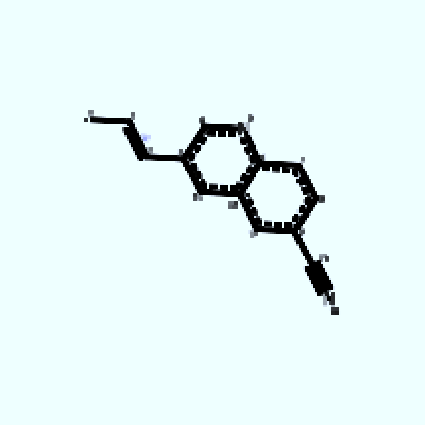 [CH2]/C=C/c1cnc2ccc(C#N)cc2c1